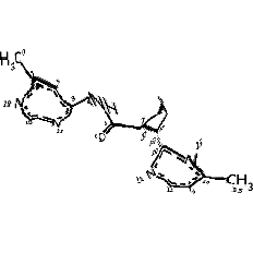 Cc1cc(NC(=O)[C@H]2C[C@@H]2c2nccc(C)n2)ncn1